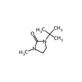 CN1CCN(C(C)(C)C)C1=O